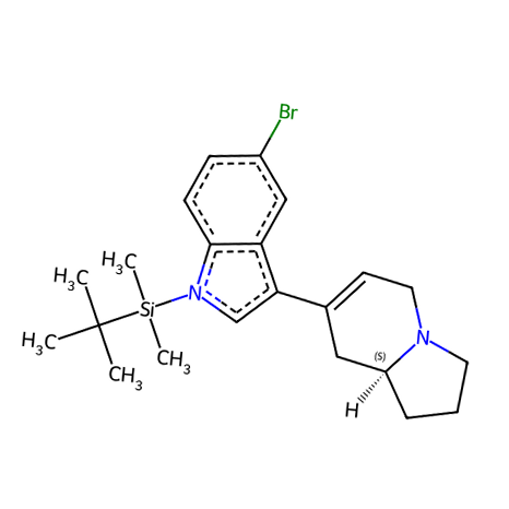 CC(C)(C)[Si](C)(C)n1cc(C2=CCN3CCC[C@H]3C2)c2cc(Br)ccc21